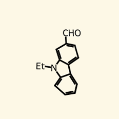 CCn1c2ccccc2c2ccc(C=O)cc21